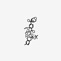 CCOc1cc(C(=O)N2C3CCC2COC3)ccc1C(=O)NC[C@@H](O)[C@@H]1Cc2cc(C)ccc2CN1C(=O)OC(C)(C)C